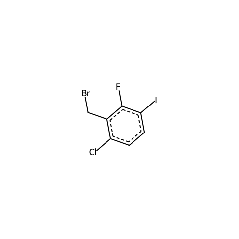 Fc1c(I)ccc(Cl)c1CBr